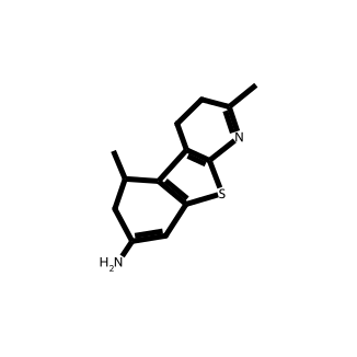 CC1=Nc2sc3c(c2CC1)C(C)CC(N)=C3